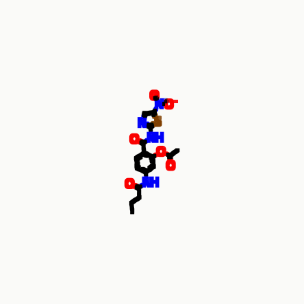 CCCC(=O)Nc1ccc(C(=O)Nc2ncc([N+](=O)[O-])s2)c(OC(C)=O)c1